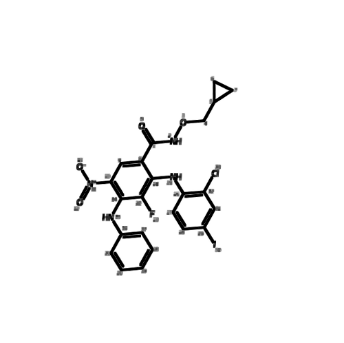 O=C(NOCC1CC1)c1cc([N+](=O)[O-])c(Nc2ccccc2)c(F)c1Nc1ccc(I)cc1Cl